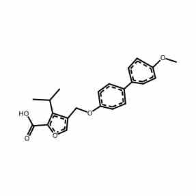 COc1ccc(-c2ccc(OCc3coc(C(=O)O)c3C(C)C)cc2)cc1